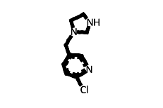 Clc1ccc(CN2CCNC2)cn1